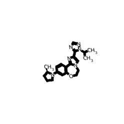 CC(C)n1ncnc1-c1cn2c(n1)-c1ccc(N3CCC[C@H]3C)cc1OCC2